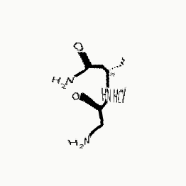 C[C@H](NC(=O)CN)C(N)=O.Cl